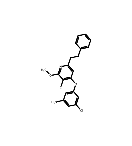 COc1nc(CCc2ccccc2)cc(Oc2cc(N)cc(Cl)c2)c1Cl